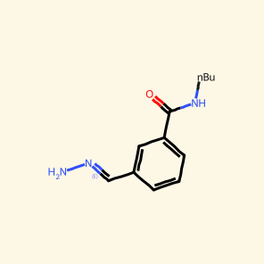 CCCCNC(=O)c1cccc(/C=N/N)c1